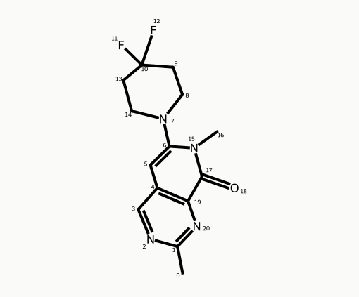 Cc1ncc2cc(N3CCC(F)(F)CC3)n(C)c(=O)c2n1